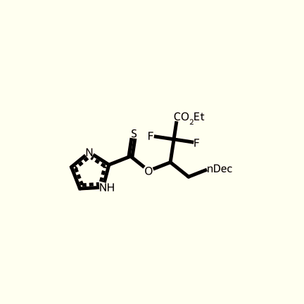 CCCCCCCCCCCC(OC(=S)c1ncc[nH]1)C(F)(F)C(=O)OCC